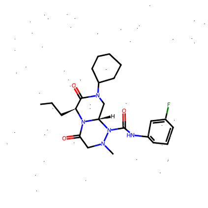 CCC[C@H]1C(=O)N(C2CCCCC2)C[C@H]2N1C(=O)CN(C)N2C(=O)Nc1cccc(F)c1